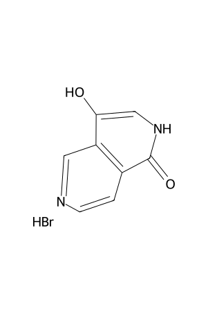 Br.O=c1[nH]cc(O)c2cnccc12